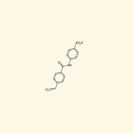 C=Cc1ccc(C(=O)Nc2ccc(S(=O)(=O)O)cc2)cc1